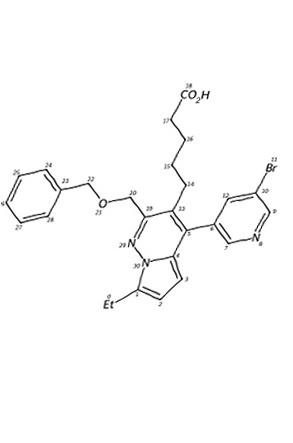 CCc1ccc2c(-c3cncc(Br)c3)c(CCCCC(=O)O)c(COCc3ccccc3)nn12